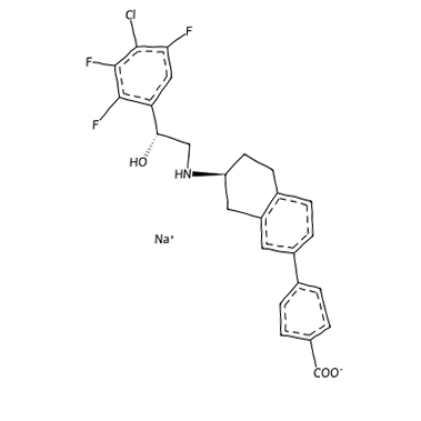 O=C([O-])c1ccc(-c2ccc3c(c2)C[C@@H](NC[C@H](O)c2cc(F)c(Cl)c(F)c2F)CC3)cc1.[Na+]